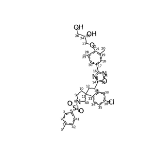 Cc1ccc(S(=O)(=O)N2CCC(CCc3nc(-c4cc(C)c(OC[C@@H](O)CO)c(C)c4)no3)(c3ccc(Cl)cc3)C2)cc1